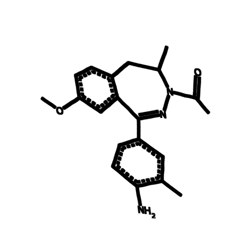 COc1ccc2c(c1)C(c1ccc(N)c(C)c1)=NN(C(C)=O)C(C)C2